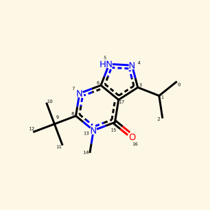 CC(C)c1n[nH]c2nc(C(C)(C)C)n(C)c(=O)c12